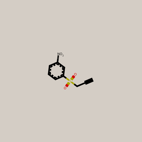 C#CCS(=O)(=O)c1cccc([N+](=O)[O-])c1